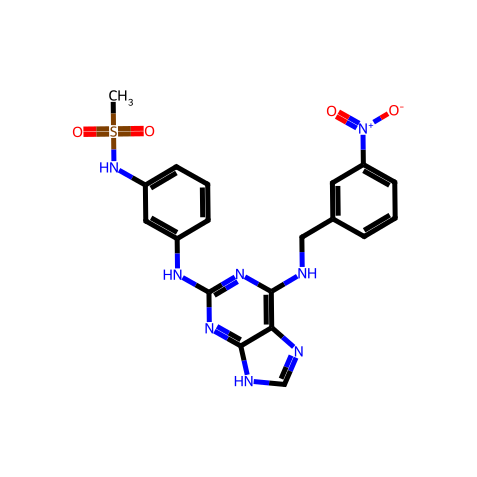 CS(=O)(=O)Nc1cccc(Nc2nc(NCc3cccc([N+](=O)[O-])c3)c3nc[nH]c3n2)c1